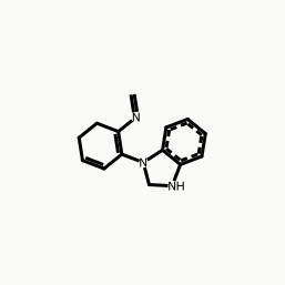 C=NC1=C(N2CNc3ccccc32)C=CCC1